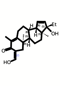 CC[C@]1(O)C=C[C@H]2[C@@H]3CCC4=C(C)C(=O)/C(=C\O)C[C@]4(C)[C@H]3CC[C@@]21C